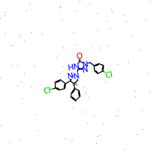 O=c1[nH]c(N2C[C@@H](c3ccccc3)C(c3ccc(Cl)cc3)=N2)nn1Cc1ccc(Cl)cc1